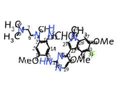 COc1cc(N(C)CCN(C)C)c(NC=O)cc1Nc1nccc(-c2cn(C)c3cc(OC)c(F)c(OC)c23)n1